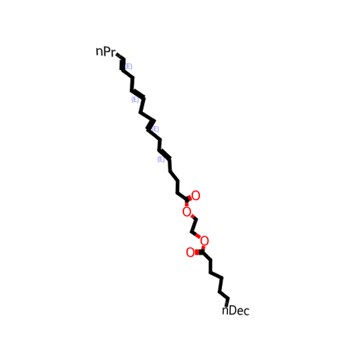 CCC/C=C/C/C=C/C/C=C/C/C=C/CCCC(=O)OCCOC(=O)CCCCCCCCCCCCCCC